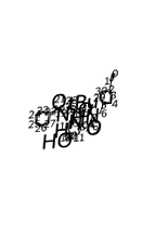 C#Cc1ccc(CNC(=O)[C@@H]2C[C@@H](O)CN2C(=O)[C@@H](NC(=O)c2ccccc2)C(C)(C)C)cc1